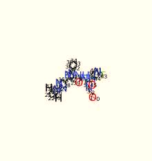 COCCN1C[C@@H](NC(=O)Nc2c(C)c(-c3cnc(N4C[C@@H]5CC[C@@H](C5)C4)nc3)nn2-c2ccccc2)[C@H](c2ccnc(F)c2)O1